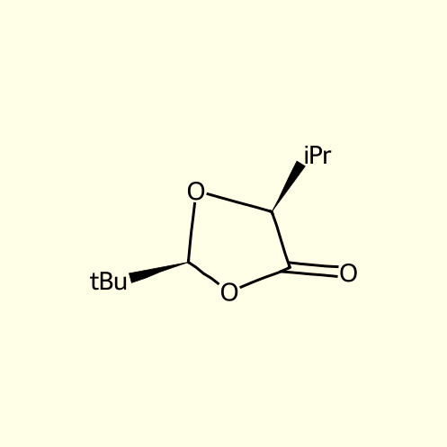 CC(C)[C@@H]1O[C@H](C(C)(C)C)OC1=O